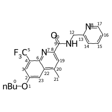 CCCCOc1cc(C(F)(F)F)c2nc(C(=O)NCc3ccccn3)cc(C)c2c1